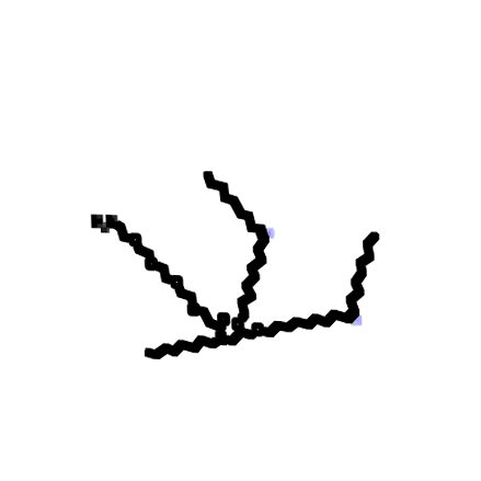 CCCCCCCC/C=C\CCCCCCCCOCC(CN(CCCCCCCC)C(=O)CCOCCOCCOCCOCCN)OCCCCCCCC/C=C\CCCCCCCC